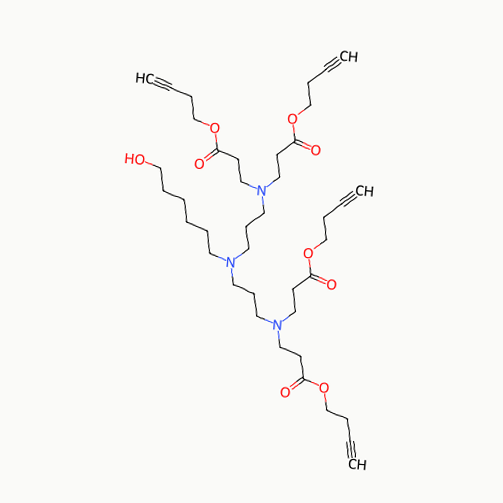 C#CCCOC(=O)CCN(CCCN(CCCCCCO)CCCN(CCC(=O)OCCC#C)CCC(=O)OCCC#C)CCC(=O)OCCC#C